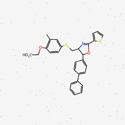 Cc1cc(SCC2N=C(c3cccs3)OC2c2ccc(-c3ccccc3)cc2)ccc1OCC(=O)O